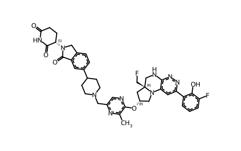 Cc1nc(CN2CCC(c3ccc4c(c3)C(=O)N([C@H]3CCC(=O)NC3=O)C4)CC2)cnc1O[C@H]1CN2c3cc(-c4cccc(F)c4O)nnc3NC[C@@]2(CF)C1